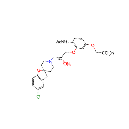 CC(=O)Nc1ccc(OCC(=O)O)cc1OC[C@H](O)CN1CCC2(CC1)Cc1cc(Cl)ccc1O2